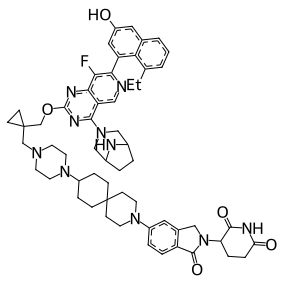 CCc1cccc2cc(O)cc(-c3ncc4c(N5CC6CCC(C5)N6)nc(OCC5(CN6CCN(C7CCC8(CC7)CCN(c7ccc9c(c7)CN(C7CCC(=O)NC7=O)C9=O)CC8)CC6)CC5)nc4c3F)c12